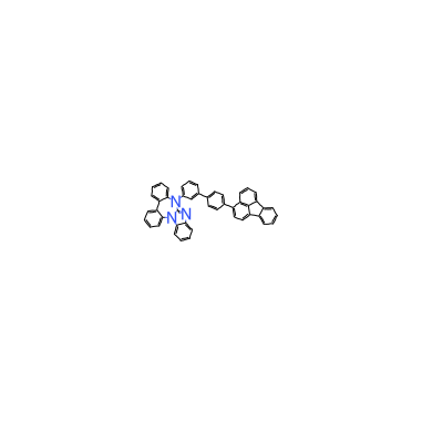 c1cc(-c2ccc(-c3ccc4c5c(cccc35)-c3ccccc3-4)cc2)cc(N2c3ccccc3-c3ccccc3-n3c2nc2ccccc23)c1